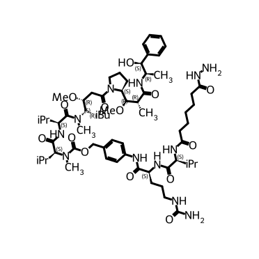 CC[C@@H](C)[C@@H]([C@@H](CC(=O)N1CCC[C@H]1[C@H](OC)[C@@H](C)C(=O)N[C@H](C)[C@@H](O)c1ccccc1)OC)N(C)C(=O)[C@@H](NC(=O)[C@H](C(C)C)N(C)C(=O)OCc1ccc(NC(=O)[C@H](CCCNC(N)=O)NC(=O)[C@@H](NC(=O)CCCCCC(=O)NN)C(C)C)cc1)C(C)C